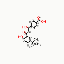 CC(C)(C)c1ccc(O)c(C(=O)C=C(O)c2ccc(C(=O)O)cc2)c1